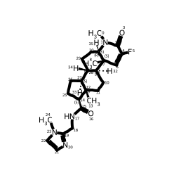 CN1C(=O)C(F)=C[C@]2(C)[C@H]3CC[C@]4(C)[C@@H](C(=O)NCc5nccn5C)CC[C@H]4[C@@H]3CC[C@@H]12